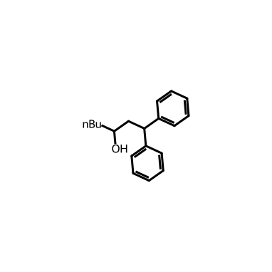 CCCCC(O)CC(c1ccccc1)c1ccccc1